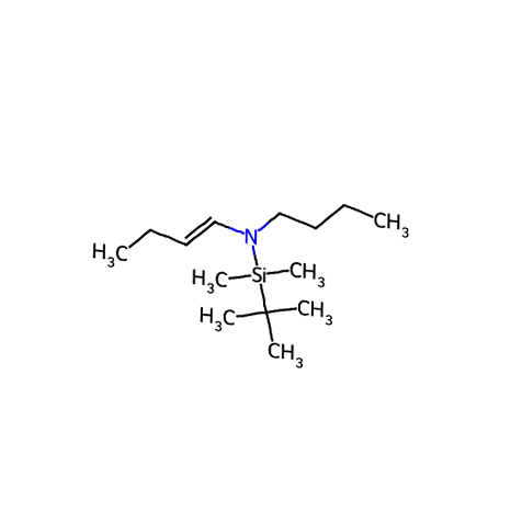 CCC=CN(CCCC)[Si](C)(C)C(C)(C)C